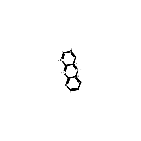 c1cnc2nc3ncncc3nc2c1